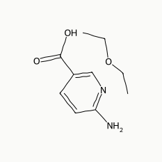 CCOCC.Nc1ccc(C(=O)O)cn1